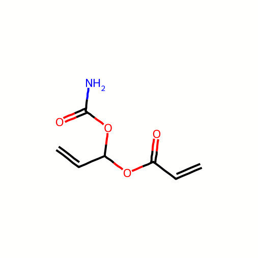 C=CC(=O)OC(C=C)OC(N)=O